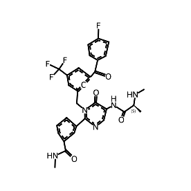 CNC(=O)c1cccc(-c2ncc(NC(=O)[C@H](C)NC)c(=O)n2Cc2cc(C(=O)c3ccc(F)cc3)cc(C(F)(F)F)c2)c1